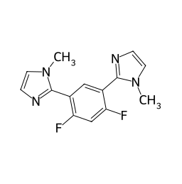 Cn1ccnc1-c1cc(-c2nccn2C)c(F)cc1F